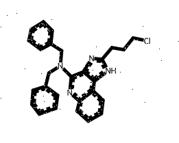 ClCCCc1nc2c(N(Cc3ccccc3)Cc3ccccc3)nc3ccccc3c2[nH]1